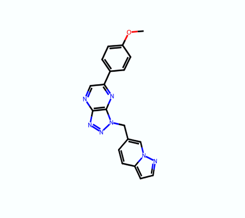 COc1ccc(-c2cnc3nnn(Cc4ccc5ccnn5c4)c3n2)cc1